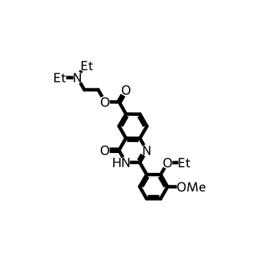 CCOc1c(OC)cccc1-c1nc2ccc(C(=O)OCCN(CC)CC)cc2c(=O)[nH]1